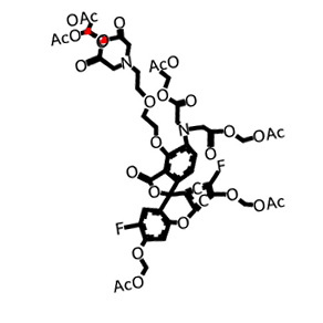 CC(=O)OCOC(=O)CN(CCOCCOc1c(N(CC(=O)OCOC(C)=O)CC(=O)OCOC(C)=O)ccc2c1C(=O)OC21c2cc(F)c(OCOC(C)=O)cc2Oc2cc(OCOC(C)=O)c(F)cc21)CC(=O)OCOC(C)=O